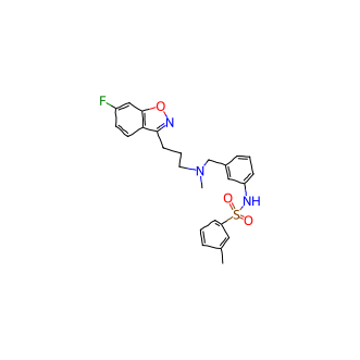 Cc1cccc(S(=O)(=O)Nc2cccc(CN(C)CCCc3noc4cc(F)ccc34)c2)c1